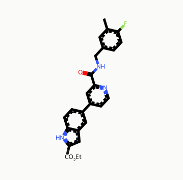 CCOC(=O)c1cc2cc(-c3ccnc(C(=O)NCc4ccc(F)c(C)c4)c3)ccc2[nH]1